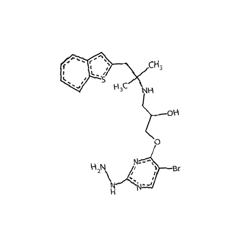 CC(C)(Cc1cc2ccccc2s1)NCC(O)COc1nc(NN)ncc1Br